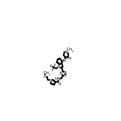 COCCn1ccc(C(=O)NCc2nc(-c3cc4c(/N=C5\CCN(C)C[C@@H]5F)cccc4n3CC(F)(F)F)no2)c1